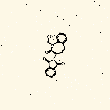 O=C(O)CN1C(=O)C(N2C(=O)c3ccccc3C2=O)CCc2ccccc21